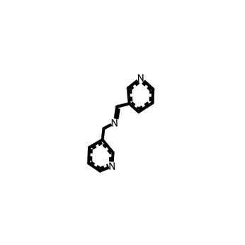 C(=N\Cc1cccnc1)/c1cccnc1